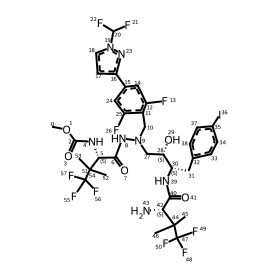 COC(=O)N[C@H](C(=O)NN(Cc1c(F)cc(-c2ccn(C(F)F)n2)cc1F)C[C@H](O)[C@H](Cc1ccc(I)cc1)NC(=O)[C@@H](N)C(C)(C)C(F)(F)F)C(C)(C)C(F)(F)F